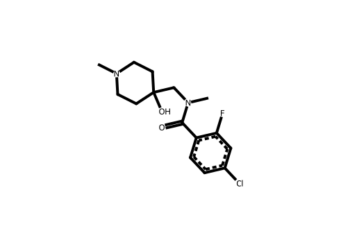 CN1CCC(O)(CN(C)C(=O)c2ccc(Cl)cc2F)CC1